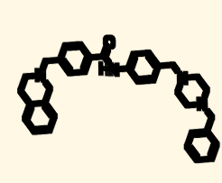 O=C(Nc1ccc(CN2CCN(Cc3ccccc3)CC2)cc1)c1ccc(CN2CCc3ccccc3C2)cc1